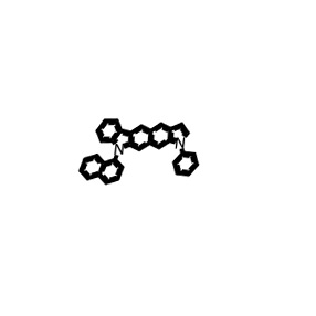 c1ccc(-n2ccc3cc4cc5c6ccccc6n(-c6cccc7ccccc67)c5cc4cc32)cc1